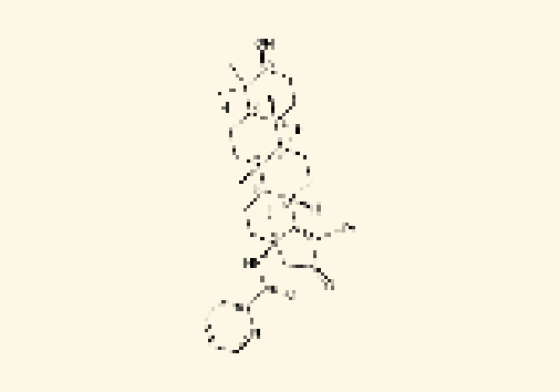 CC(C)C1=C2[C@H]3CC[C@@H]4[C@@]5(C)CC[C@H](O)C(C)(C)[C@@H]5CC[C@@]4(C)[C@]3(C)CC[C@@]2(NC(=O)c2ccccn2)CC1=O